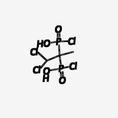 CC(C(Cl)Cl)(P(=O)(O)Cl)P(=O)(O)Cl